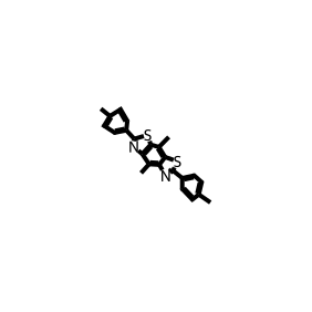 Cc1ccc(-c2nc3c(C)c4nc(-c5ccc(C)cc5)sc4c(C)c3s2)cc1